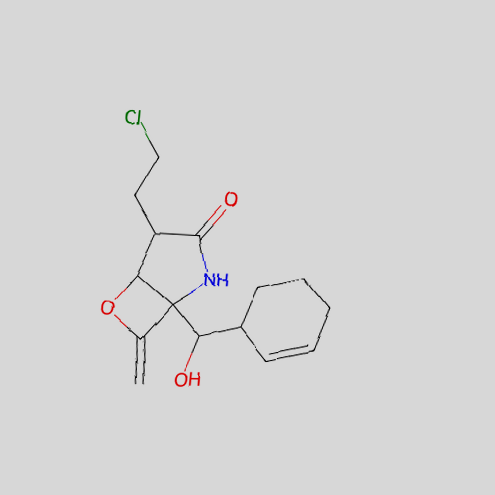 C=C1OC2C(CCCl)C(=O)NC12C(O)C1C=CCCC1